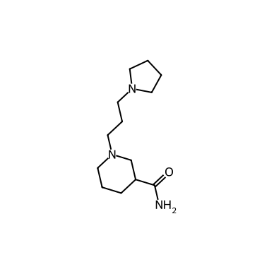 NC(=O)C1CCCN(CCCN2CCCC2)C1